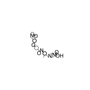 Cc1cc(N(C)C(=O)C2CCC(Oc3cccc(CN4CCCC4=O)c3)CC2)ccc1CN1CCN(C(=O)O)[C@@H](C)C1